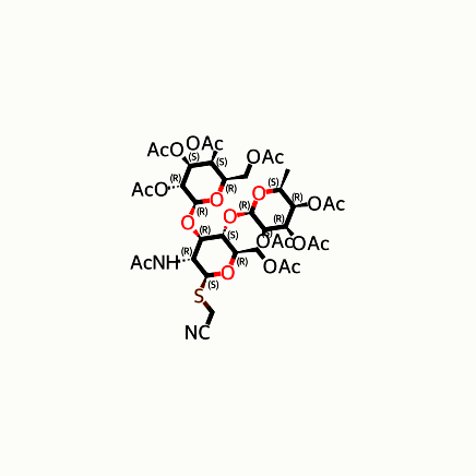 CC(=O)N[C@@H]1[C@@H](O[C@@H]2O[C@H](COC(C)=O)[C@H](OC(C)=O)[C@H](OC(C)=O)[C@H]2OC(C)=O)[C@H](O[C@H]2O[C@@H](C)[C@@H](OC(C)=O)[C@@H](OC(C)=O)[C@@H]2OC(C)=O)[C@@H](COC(C)=O)O[C@H]1SCC#N